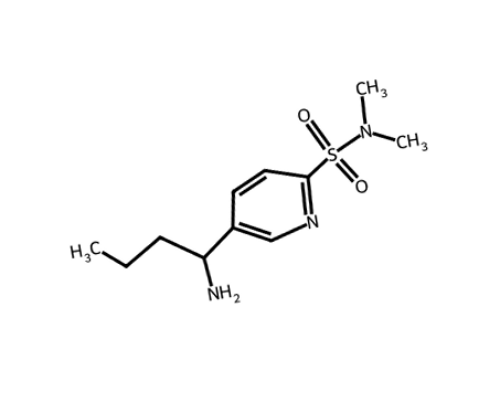 CCCC(N)c1ccc(S(=O)(=O)N(C)C)nc1